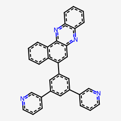 c1cncc(-c2cc(-c3cccnc3)cc(-c3cc4nc5ccccc5nc4c4ccccc34)c2)c1